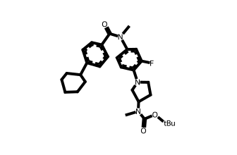 CN(C(=O)c1ccc(C2CCCCC2)cc1)c1ccc(N2CCC(N(C)C(=O)OC(C)(C)C)C2)c(F)c1